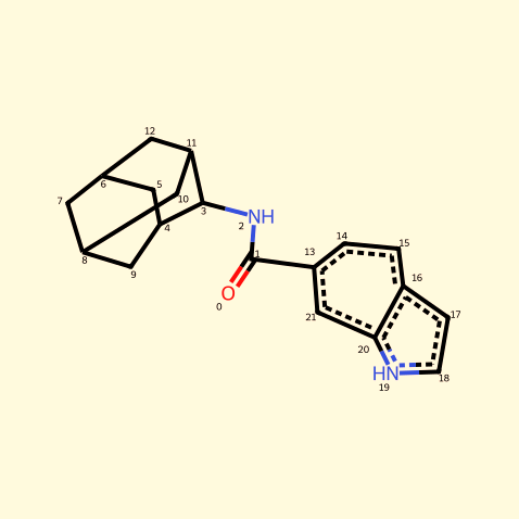 O=C(NC1C2CC3CC(C2)CC1C3)c1ccc2cc[nH]c2c1